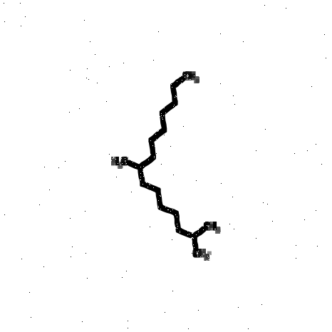 [CH2]C(C)CCCCCC(C)CCCCCCC